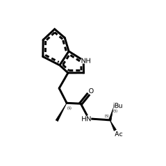 CC[C@H](C)[C@H](NC(=O)[C@@H](C)Cc1c[nH]c2ccccc12)C(C)=O